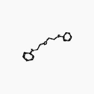 c1ccc(SCCOCCSc2ccccc2)cc1